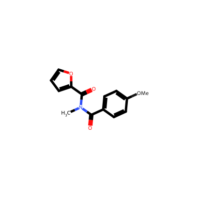 COc1ccc(C(=O)N(C)C(=O)c2ccco2)cc1